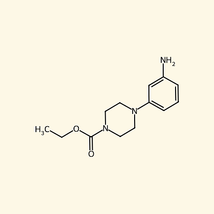 CCOC(=O)N1CCN(c2cccc(N)c2)CC1